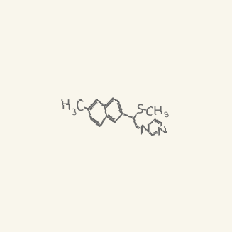 CSC(Cn1ccnc1)c1ccc2cc(C)ccc2c1